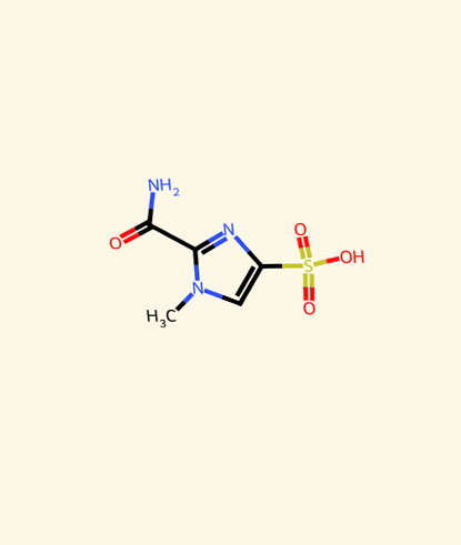 Cn1cc(S(=O)(=O)O)nc1C(N)=O